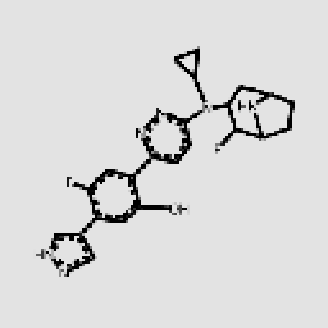 Oc1cc(-c2cn[nH]c2)c(F)cc1-c1ccc(N(C2CC2)C2CC3CCC(N3)C2F)nn1